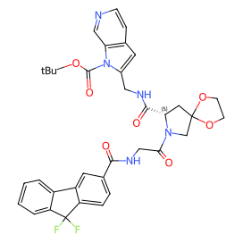 CC(C)(C)OC(=O)n1c(CNC(=O)[C@@H]2CC3(CN2C(=O)CNC(=O)c2ccc4c(c2)-c2ccccc2C4(F)F)OCCO3)cc2ccncc21